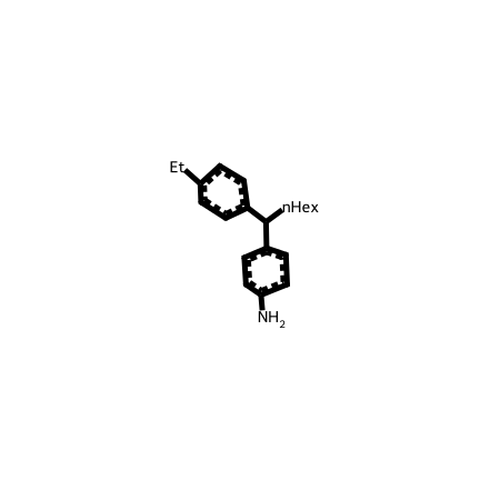 CCCCCCC(c1ccc(N)cc1)c1ccc(CC)cc1